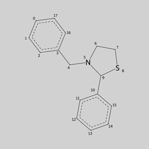 c1ccc(CN2CCSC2c2ccccc2)cc1